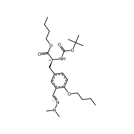 CCCCOC(=O)[C@H](Cc1ccc(OCCCC)c(/C=N/N(C)C)c1)NC(=O)OC(C)(C)C